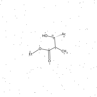 CCOC(=O)C(C)[C@H](O)C(C)=O